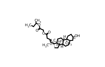 CCC(C)OC(=O)COC(=O)CC[C@@H](C)[C@H]1CC[C@H]2[C@@H]3CCC4C[C@H](O)CC[C@]4(C)[C@H]3CC[C@]12C